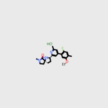 CCOc1cc(-c2cc(C)nc([C@H]3CC[C@@]4(CCN(C)C4=O)N3)c2)c(F)cc1C.Cl